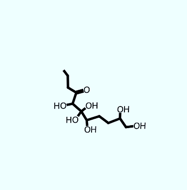 CCCC(=O)C(O)C(O)(O)C(O)CCC(O)CO